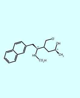 C[C@H](O)CC(CCl)[C@H](Cc1ccc2ccccc2c1)NC(=O)O